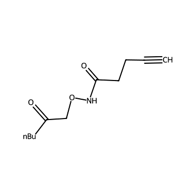 C#CCCC(=O)NOCC(=O)CCCC